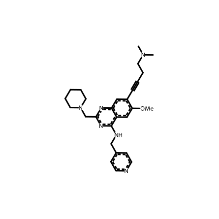 COc1cc2c(NCc3ccncc3)nc(CN3CCCCC3)nc2cc1C#CCCN(C)C